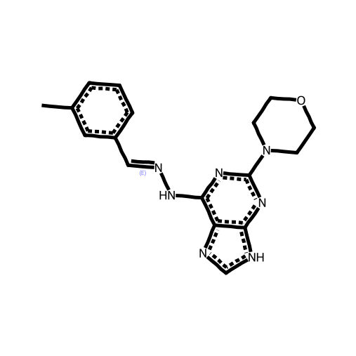 Cc1cccc(/C=N/Nc2nc(N3CCOCC3)nc3[nH]cnc23)c1